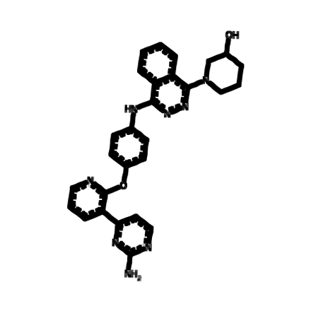 Nc1nccc(-c2cccnc2Oc2ccc(Nc3nnc(N4CCCC(O)C4)c4ccccc34)cc2)n1